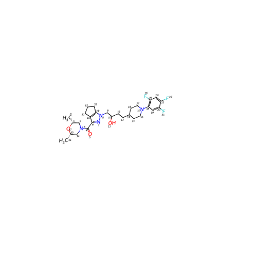 C[C@@H]1CN(C(=O)c2nn(CC(O)CCC3CCN(c4cc(F)c(F)cc4F)CC3)c3c2CCC3)C[C@H](C)O1